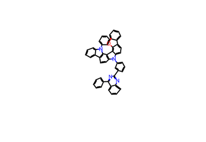 c1ccc(-c2nc(-c3cccc(-n4c5ccc6c7ccccc7oc6c5c5c4ccc4c6ccccc6n(-c6ccccc6)c45)c3)nc3ccccc23)cc1